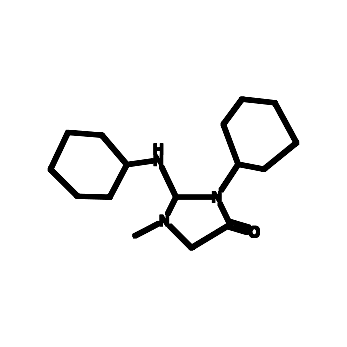 CN1CC(=O)N(C2CCCCC2)C1NC1CCCCC1